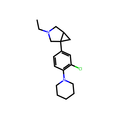 CCN1CC2CC2(c2ccc(N3CCCCC3)c(Cl)c2)C1